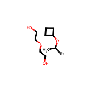 CC(C)C(C)OC1CCC1.OCCOCCO